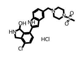 CS(=O)(=O)N1CCN(Cc2ccc3[nH]c(-c4ccc(Cl)c5c4C(O)NC5)cc3c2)CC1.Cl